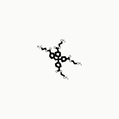 CCCOC(=O)c1ccc(CC(c2ccc(C(=O)OCCC)cc2)(c2ccc(C(=O)OCCC)cc2)c2ccc(C(=O)OCCC)cc2)cc1